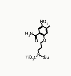 Cc1cc(OCCCN(C(=O)O)C(C)(C)C)c(C(N)=O)cc1[N+](=O)[O-]